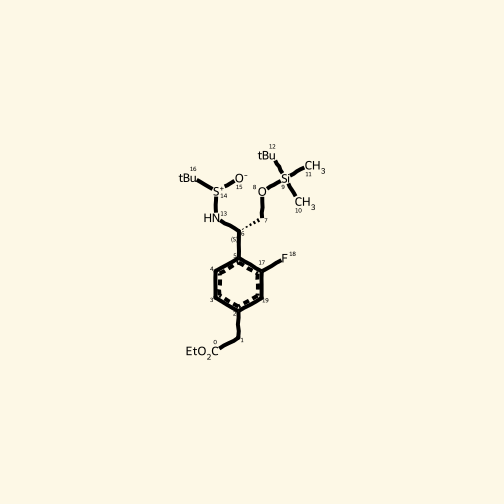 CCOC(=O)Cc1ccc([C@@H](CO[Si](C)(C)C(C)(C)C)N[S+]([O-])C(C)(C)C)c(F)c1